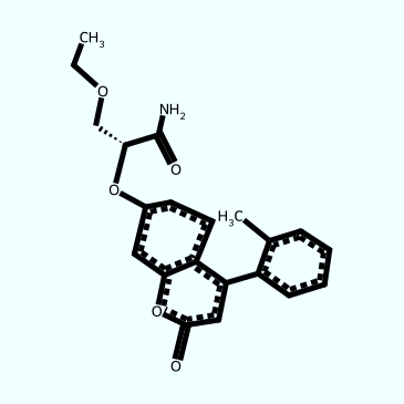 CCOC[C@@H](Oc1ccc2c(-c3ccccc3C)cc(=O)oc2c1)C(N)=O